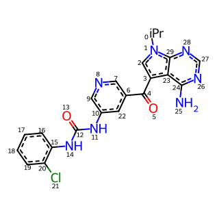 CC(C)n1cc(C(=O)c2cncc(NC(=O)Nc3ccccc3Cl)c2)c2c(N)ncnc21